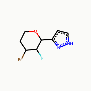 FC1C(Br)CCOC1c1cc[nH]n1